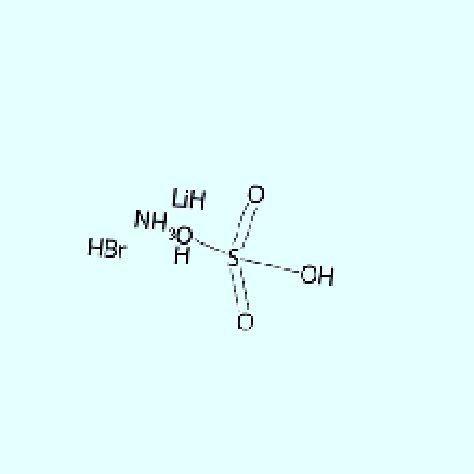 Br.N.O=S(=O)(O)O.[LiH]